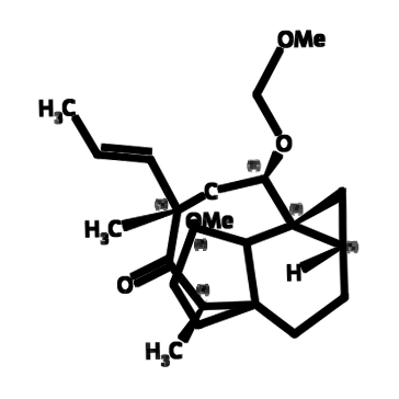 CC=C[C@]1(C)C[C@@H](OCOC)[C@]23C[C@@H]2CCC2(CC[C@@H](OC)C23)[C@@H](C)C1=O